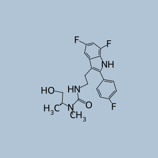 C[C@@H](CO)N(C)C(=O)NCCc1c(-c2ccc(F)cc2)[nH]c2c(F)cc(F)cc12